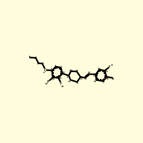 CCCCOc1ccc(C2CCC(/C=C/c3ccc(C)c(F)c3)CC2)c(F)c1F